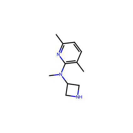 Cc1ccc(C)c(N(C)C2CNC2)n1